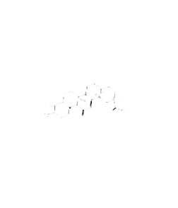 C[C@H]1C(N)CCC2(C)C1CC[C@]1(C)C2C(=O)C=C2[C@@H]3C[C@@](C)(C(N)=O)CC[C@]3(C)CC[C@]21C